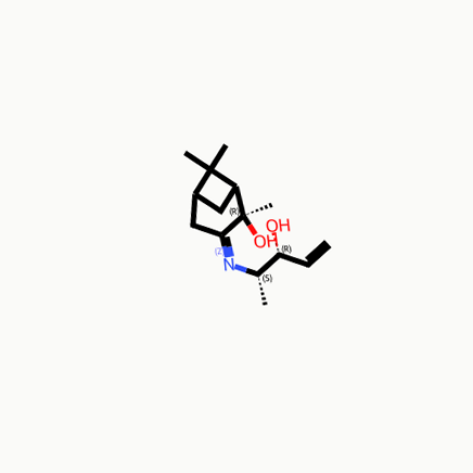 C=C[C@@H](O)[C@H](C)/N=C1/CC2CC(C2(C)C)[C@@]1(C)O